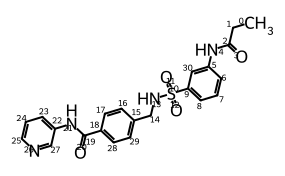 CCC(=O)Nc1cccc(S(=O)(=O)NCc2ccc(C(=O)Nc3cccnc3)cc2)c1